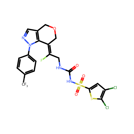 O=C(NCC(F)=C1COCc2cnn(-c3ccc(C(F)(F)F)cc3)c21)NS(=O)(=O)c1cc(Cl)c(Cl)s1